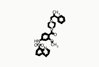 COc1cc(NS(=O)(=O)c2cccc3cccnc23)ccc1C(=O)N1CCN(CC(C)c2ccccc2)CC1